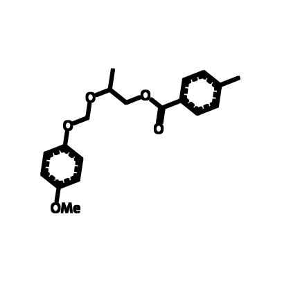 COc1ccc(OCOC(C)COC(=O)c2ccc(C)cc2)cc1